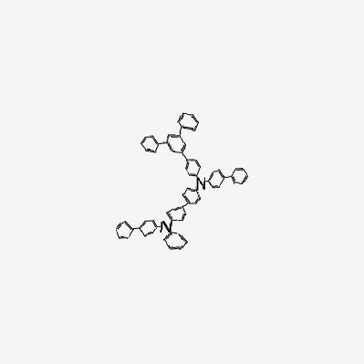 c1ccc(-c2ccc(N(c3ccccc3)c3ccc(-c4ccc(N(c5ccc(-c6ccccc6)cc5)c5ccc(-c6cc(-c7ccccc7)cc(-c7ccccc7)c6)cc5)cc4)cc3)cc2)cc1